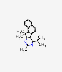 C=C(C)C1=NC(C)=NC2C1c1ccc3ccccc3c1C2(C)C